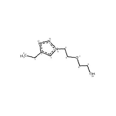 CCc1cn(CCOCCO)nn1